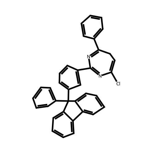 ClC1=CCC(c2ccccc2)=NC(c2cccc(C3(c4ccccc4)c4ccccc4-c4ccccc43)c2)=N1